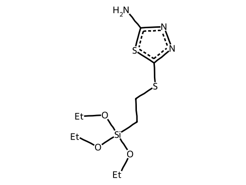 CCO[Si](CCSc1nnc(N)s1)(OCC)OCC